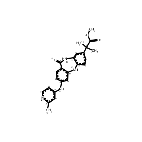 COC(=O)C(C)(C)c1ccc2c(c1)NC(=O)c1ccc(Nc3ccnc(C)c3)cc1N2